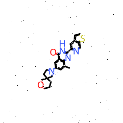 Cc1cc(N2CCC3(CCCOC3)C2)cc2c(=O)[nH]c(-c3cc4ccsc4cn3)nc12